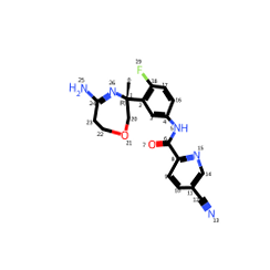 C[C@@]1(c2cc(NC(=O)c3ccc(C#N)cn3)ccc2F)COCCC(N)=N1